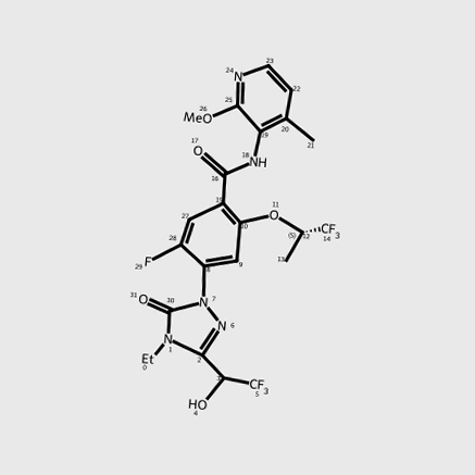 CCn1c(C(O)C(F)(F)F)nn(-c2cc(O[C@@H](C)C(F)(F)F)c(C(=O)Nc3c(C)ccnc3OC)cc2F)c1=O